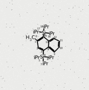 Cc1cc([Si](C(C)C)(C(C)C)C(C)C)c2ccccc2c1[Si](C(C)C)(C(C)C)C(C)C